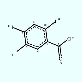 O=C(Cl)c1cc(I)c(I)cc1I